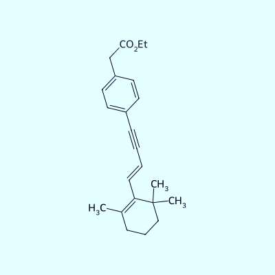 CCOC(=O)Cc1ccc(C#CC=CC2=C(C)CCCC2(C)C)cc1